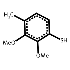 COc1c(C)ccc(S)c1OC